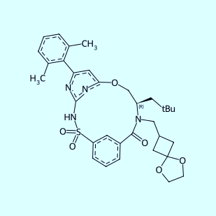 Cc1cccc(C)c1-c1cc2nc(n1)NS(=O)(=O)c1cccc(c1)C(=O)N(CC1CC3(C1)OCCO3)[C@H](CC(C)(C)C)CO2